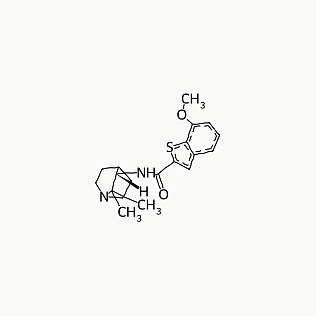 COc1cccc2cc(C(=O)N[C@H]3C4CCN(CC4)C3(C)C)sc12